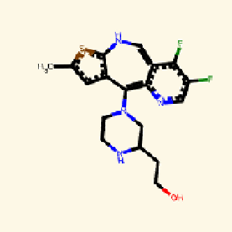 Cc1cc2c(s1)NC=c1c(F)c(F)cnc1=C2N1CCNC(CCO)C1